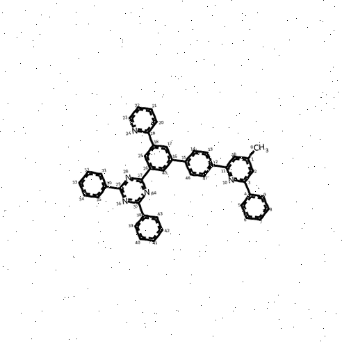 Cc1cc(-c2ccccc2)nc(-c2ccc(-c3cc(-c4ccccn4)cc(-c4nc(-c5ccccc5)nc(-c5ccccc5)n4)c3)cc2)c1